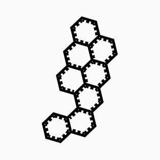 c1ccc2c(c1)ccc1cc3cc4ccc5cccc6cc7ccc(c12)c3c7c4c56